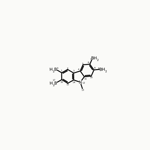 Bc1cc2c3cc(B)c(B)cc3n(C)c2cc1B